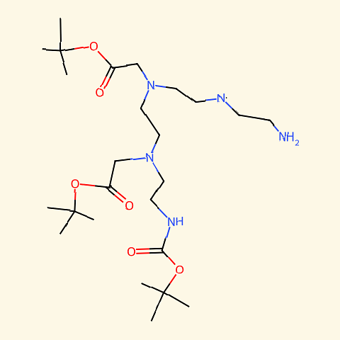 CC(C)(C)OC(=O)CN(CC[N]CCN)CCN(CCNC(=O)OC(C)(C)C)CC(=O)OC(C)(C)C